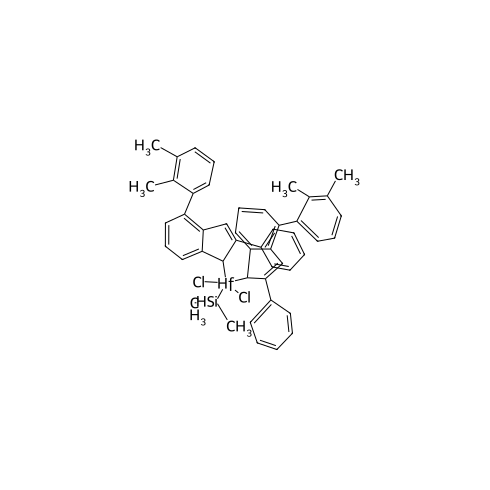 Cc1cccc(-c2cccc3c2C=C(c2ccccc2)[CH]3[Hf]([Cl])([Cl])([CH]2C(c3ccccc3)=Cc3c(-c4cccc(C)c4C)cccc32)[SiH](C)C)c1C